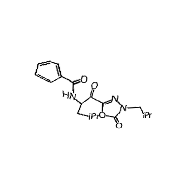 CC(C)CC(NC(=O)c1ccccc1)C(=O)c1nn(CC(C)C)c(=O)o1